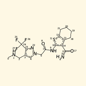 CNCc1cn(CC(=O)Nc2sc3c(c2C(N)=O)CCCC3)nc1C(F)(F)F